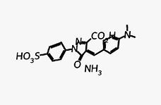 CN(C)c1ccc(C=C2C(=O)N(c3ccc(S(=O)(=O)O)cc3)N=C2C(=O)O)cc1.N